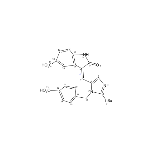 CCCCc1ncc(/C=C2\C(=O)Nc3ccc(C(=O)O)cc32)n1Cc1ccc(C(=O)O)cc1